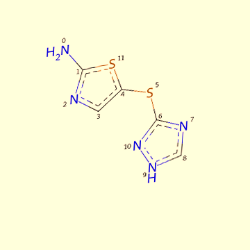 Nc1ncc(Sc2nc[nH]n2)s1